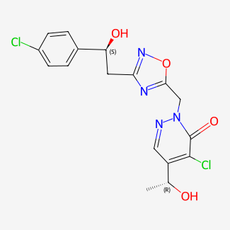 C[C@@H](O)c1cnn(Cc2nc(C[C@H](O)c3ccc(Cl)cc3)no2)c(=O)c1Cl